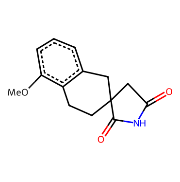 COc1cccc2c1CCC1(CC(=O)NC1=O)C2